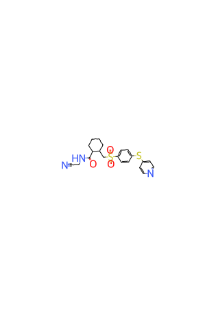 N#CCNC(=O)C1CCCCC1CS(=O)(=O)c1ccc(Sc2ccncc2)cc1